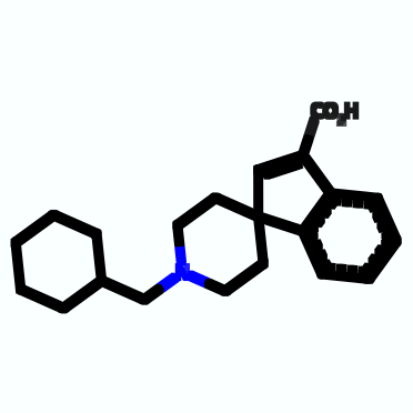 O=C(O)C1=CC2(CCN(CC3CCCCC3)CC2)c2ccccc21